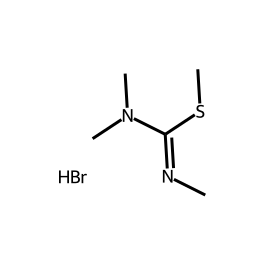 Br.CN=C(SC)N(C)C